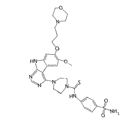 COc1cc2c(cc1OCCCN1CCOCC1)[nH]c1ncnc(N3CCN(C(=S)Nc4ccc(S(N)(=O)=O)cc4)CC3)c12